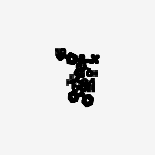 COC(=O)N[C@H](C(=O)N[C@H](c1ccc([C@@H](CO)N(CCC(C)(C)C)S(=O)(=O)c2ccc(-c3ccno3)cc2)s1)C(F)(F)F)C(c1ccccc1)c1ccccc1